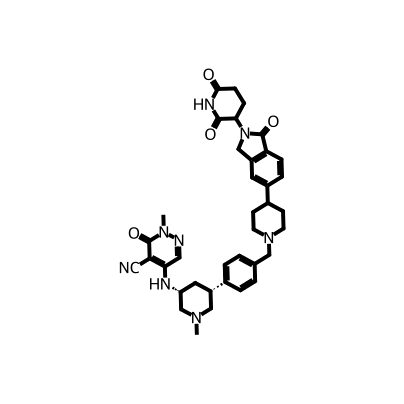 CN1C[C@H](Nc2cnn(C)c(=O)c2C#N)C[C@H](c2ccc(CN3CCC(c4ccc5c(c4)CN(C4CCC(=O)NC4=O)C5=O)CC3)cc2)C1